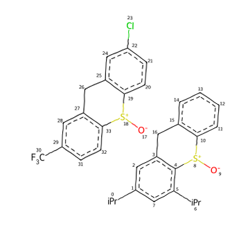 CC(C)c1cc2c(c(C(C)C)c1)[S+]([O-])c1ccccc1C2.[O-][S+]1c2ccc(Cl)cc2Cc2cc(C(F)(F)F)ccc21